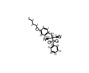 CCCCOc1ccc([I+]C(C#N)(C#N)S(=O)(=O)c2ccccc2)cc1